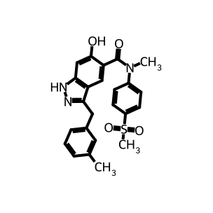 Cc1cccc(Cc2n[nH]c3cc(O)c(C(=O)N(C)c4ccc(S(C)(=O)=O)cc4)cc23)c1